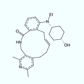 CCN(c1cccc2c1C/C=C/CCc1cc(C)nc(C)c1CNC2=O)[C@H]1CC[C@@H](O)CC1